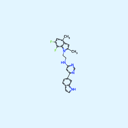 Cc1cc(F)c(F)c2c1cc(C)n2CCNc1cc(-c2ccc3cc[nH]c3c2)ncn1